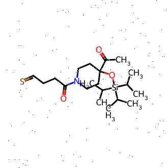 CC(=O)C1(O[Si](C(C)C)(C(C)C)C(C)C)CCN(C(=O)CCC=S)CC1